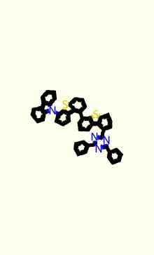 c1ccc(-c2nc(-c3ccccc3)nc(-c3cccc4sc5c(-c6cccc7sc8c(-n9c%10ccccc%10c%10ccccc%109)cccc8c67)cccc5c34)n2)cc1